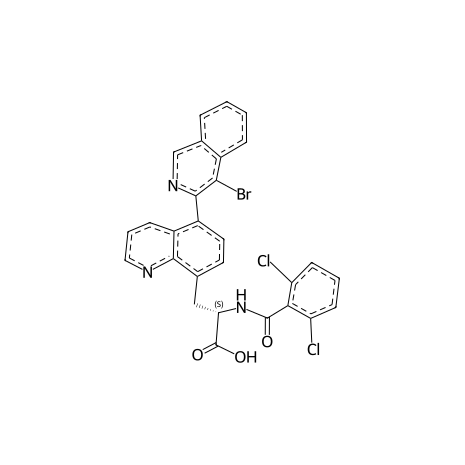 O=C(N[C@@H](Cc1ccc(-c2ncc3ccccc3c2Br)c2cccnc12)C(=O)O)c1c(Cl)cccc1Cl